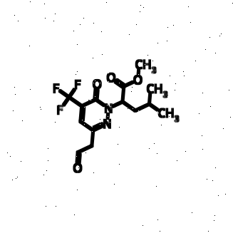 COC(=O)C(CC(C)C)n1nc(CC=O)cc(C(F)(F)F)c1=O